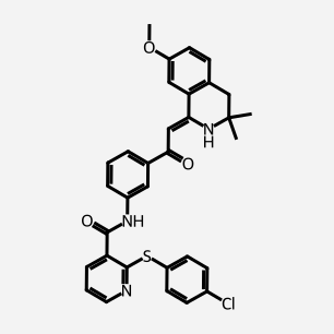 COc1ccc2c(c1)C(=CC(=O)c1cccc(NC(=O)c3cccnc3Sc3ccc(Cl)cc3)c1)NC(C)(C)C2